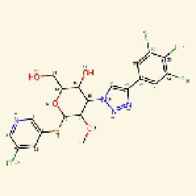 COC1C(Sc2cncc(Cl)c2)OC(CO)C(O)C1n1cc(-c2cc(F)c(F)c(F)c2)nn1